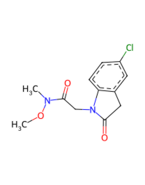 CON(C)C(=O)CN1C(=O)Cc2cc(Cl)ccc21